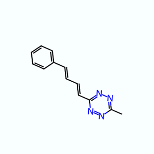 Cc1nnc(/C=C/C=C/c2ccccc2)nn1